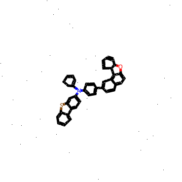 C1#CC2Oc3ccc4ccc(-c5ccc(N(C6=CC=CCC6)c6ccc7c(c6)sc6ccccc67)cc5)cc4c3C2C=C1